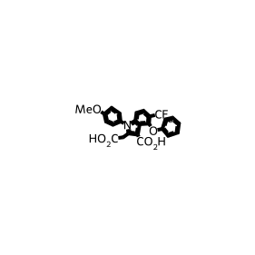 COc1ccc(-n2c(CC(=O)O)c(C(=O)O)c3c(Oc4ccccc4)c(C(F)(F)F)ccc32)cc1